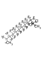 CC(F)C(F)(F)C(F)(F)C(F)(F)C(F)(F)C(F)(F)C(F)(F)C(F)(F)C(F)(F)[Si](C)(Cl)Cl